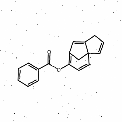 O=C(OC1=C2C=C3CC=CC3(C=C1)C2)c1ccccc1